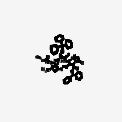 Cn1cc(SCSC2=C(C(=O)OC(c3ccccc3)c3ccccc3)N3C(=O)C[C@H]3SC2NC(=O)/C(=N\OC(c2ccccc2)(c2ccccc2)c2ccccc2)c2csc(NC(=O)OC(C)(C)C)n2)nn1